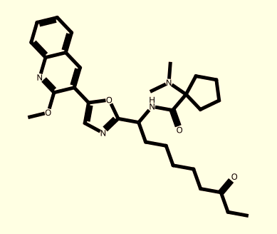 CCC(=O)CCCCCC(NC(=O)C1(N(C)C)CCCC1)c1ncc(-c2cc3ccccc3nc2OC)o1